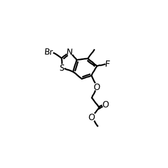 COC(=O)COc1cc2sc(Br)nc2c(C)c1F